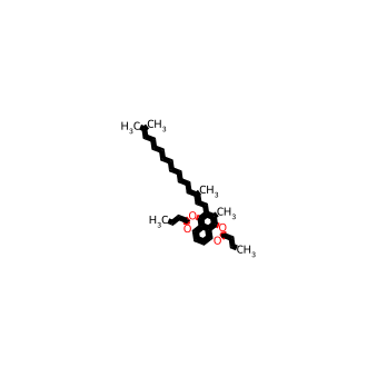 CCCC(=O)Oc1c(C)c(C/C=C(\C)CCCCCCCCCCCC(C)C)c(OC(=O)CCC)c2ccccc12